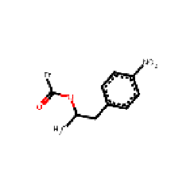 CCC(=O)OC(C)Cc1ccc([N+](=O)[O-])cc1